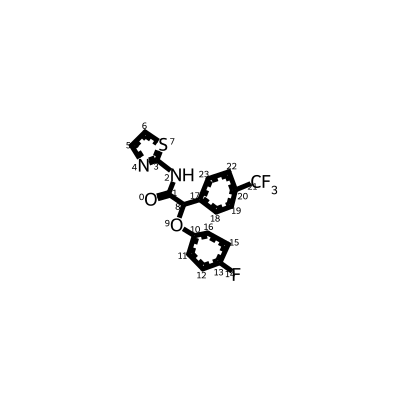 O=C(Nc1nccs1)C(Oc1ccc(F)cc1)c1ccc(C(F)(F)F)cc1